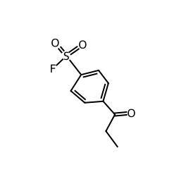 CCC(=O)c1ccc(S(=O)(=O)F)cc1